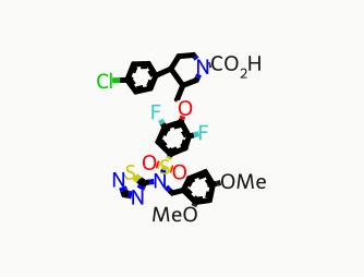 COc1ccc(CN(c2ncns2)S(=O)(=O)c2cc(F)c(OCC3CN(C(=O)O)CCC3c3ccc(Cl)cc3)c(F)c2)c(OC)c1